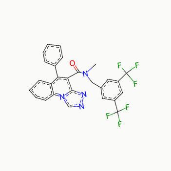 CN(Cc1cc(C(F)(F)F)cc(C(F)(F)F)c1)C(=O)c1c(-c2ccccc2)c2ccccc2n2cnnc12